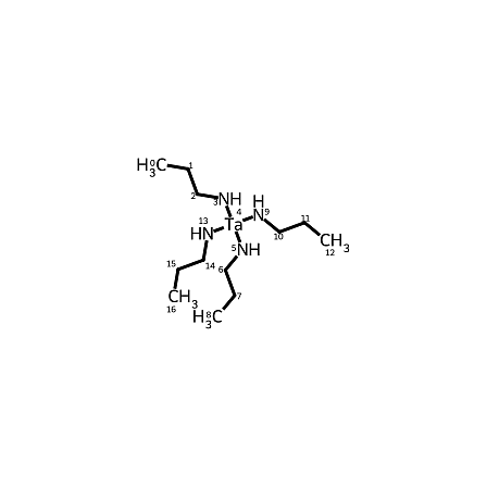 CCC[NH][Ta]([NH]CCC)([NH]CCC)[NH]CCC